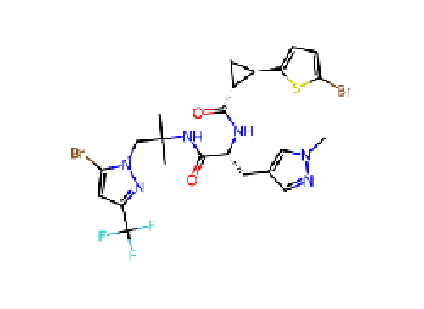 Cn1cc(C[C@@H](NC(=O)[C@@H]2C[C@H]2c2ccc(Br)s2)C(=O)NC(C)(C)Cn2nc(C(F)(F)F)cc2Br)cn1